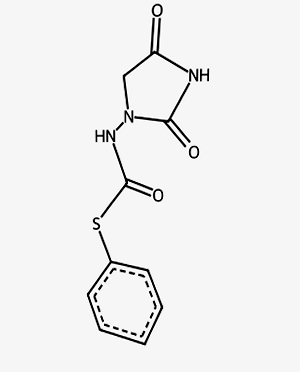 O=C1CN(NC(=O)Sc2ccccc2)C(=O)N1